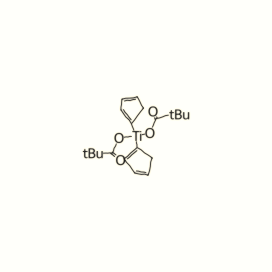 CC(C)(C)C(=O)[O][Ti]([O]C(=O)C(C)(C)C)([C]1=CC=CC1)[C]1=CC=CC1